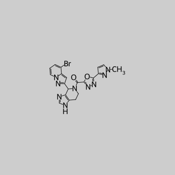 Cn1ccc(-c2nnc(C(=O)N3CCc4[nH]cnc4C3c3cc4c(Br)cccn4n3)o2)n1